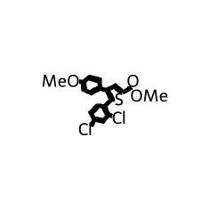 COC(=O)c1cc(-c2ccc(OC)cc2)c(-c2ccc(Cl)cc2Cl)s1